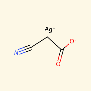 N#CCC(=O)[O-].[Ag+]